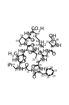 CC(C)C[C@H](NC(=O)CNC(=O)[C@H](Cc1ccccc1)NC(=O)[C@H](CCC(N)=O)NC(=O)CNC(=O)[C@@H]1C[C@@H](O)CN1)C(=O)N[C@@H](C)C(=O)NCC(=O)N1CCC[C@H]1C(=O)N[C@@H](CCCCN)C(=O)O